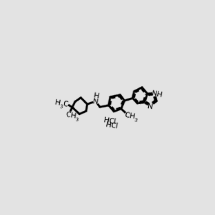 Cc1cc(CNC2CCC(C)(C)CC2)ccc1-c1ccc2[nH]cnc2c1.Cl.Cl